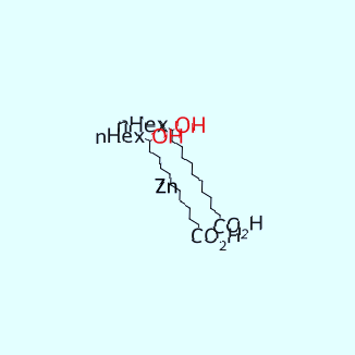 CCCCCCC(O)CCCCCCCCCCC(=O)O.CCCCCCC(O)CCCCCCCCCCC(=O)O.[Zn]